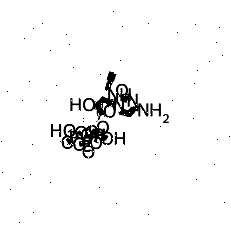 C#CCN[C@]1(n2ccc(N)nc2=O)C[C@H](O)[C@@H](COP(=O)(O)OP(=O)(O)OP(=O)(O)O)O1